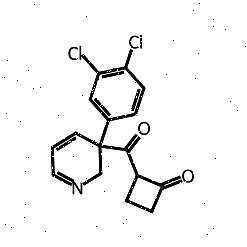 O=C1CCC1C(=O)C1(c2ccc(Cl)c(Cl)c2)C=CC=NC1